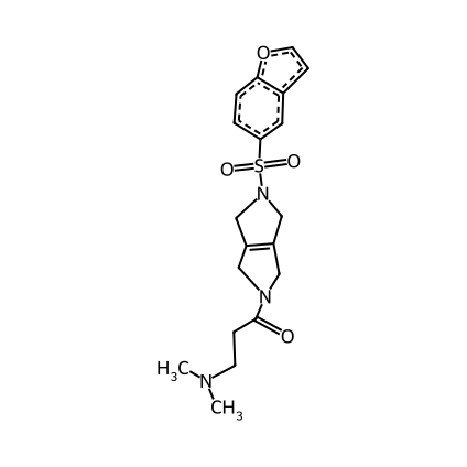 CN(C)CCC(=O)N1CC2=C(C1)CN(S(=O)(=O)c1ccc3occc3c1)C2